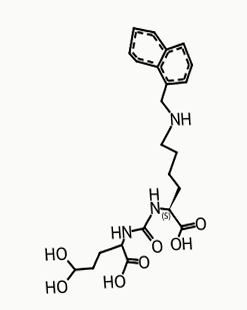 O=C(NC(CCC(O)O)C(=O)O)N[C@@H](CCCCNCc1cccc2ccccc12)C(=O)O